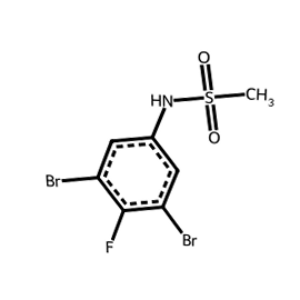 CS(=O)(=O)Nc1cc(Br)c(F)c(Br)c1